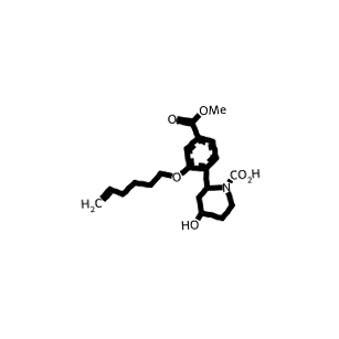 C=CCCCCOc1cc(C(=O)OC)ccc1C1CC(O)CCN1C(=O)O